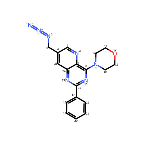 [N-]=[N+]=NCc1cnc2c(N3CCOCC3)nc(-c3ccccc3)nc2c1